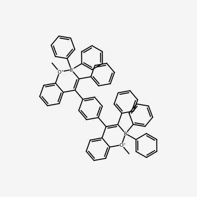 C[O+]1c2ccccc2C(c2ccc(C3=C(c4ccccc4)[B-](c4ccccc4)(c4ccccc4)[O+](C)c4ccccc43)cc2)=C(c2ccccc2)[B-]1(c1ccccc1)c1ccccc1